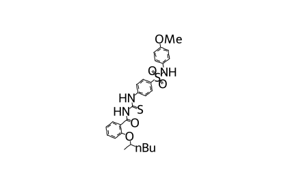 CCCCC(C)Oc1ccccc1C(=O)NC(=S)Nc1ccc(S(=O)(=O)Nc2ccc(OC)cc2)cc1